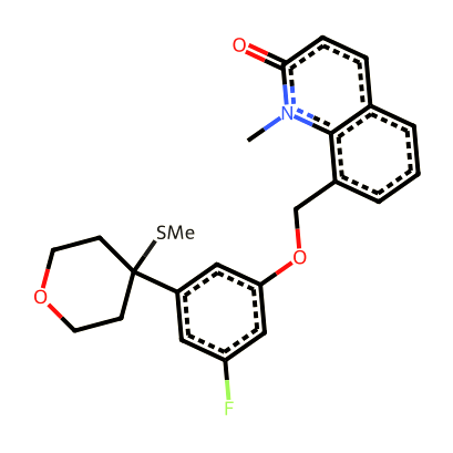 CSC1(c2cc(F)cc(OCc3cccc4ccc(=O)n(C)c34)c2)CCOCC1